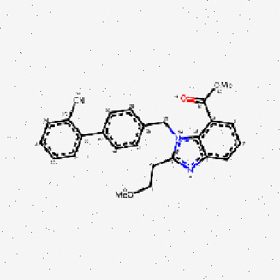 COCCc1nc2cccc(C(=O)OC)c2n1Cc1ccc(-c2ccccc2C#N)cc1